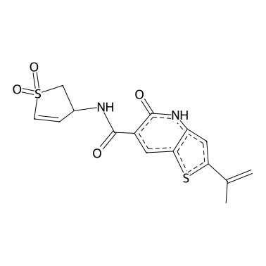 C=C(C)c1cc2[nH]c(=O)c(C(=O)NC3C=CS(=O)(=O)C3)cc2s1